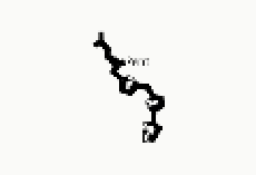 CCCC(C)/C(=C\C=C(C)C)Cc1ccc(Cc2ccc(-c3ccbs3)s2)s1